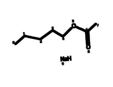 CCCCCOC(C)=O.[NaH]